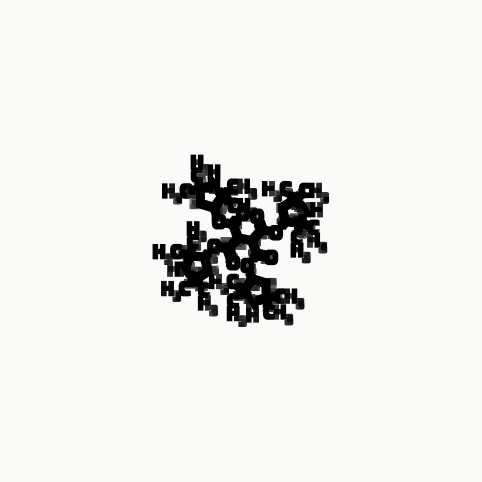 CC1(C)CC(OC(=O)C(C(=O)OC2CC(C)(C)NC2(C)C)C(C(=O)OC2CC(C)(C)NC2(C)C)C(=O)OC2CC(C)(C)NC2(C)C)C(C)(C)N1